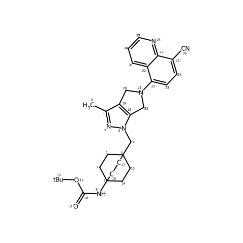 Cc1nn(CC23CCC(NC(=O)OC(C)(C)C)(CC2)CC3)c2c1CN(c1ccc(C#N)c3ncccc13)C2